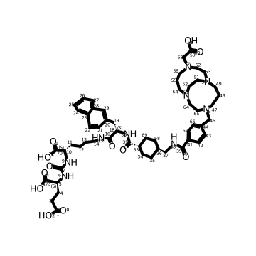 O=C(O)CC[C@H](NC(=O)N[C@@H](CCCCNC(=O)[C@H](Cc1ccc2ccccc2c1)NC(=O)[C@H]1CC[C@H](CNC(=O)c2ccc(CN3CCCN4CCN(CCCN(CC(=O)O)CC4)CC3)cc2)CC1)C(=O)O)C(=O)O